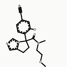 COCCN(C)C(=O)C1(c2ccc(C#N)cc2Cl)CCc2cncn21